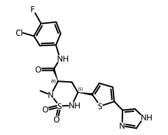 CN1[C@@H](C(=O)Nc2ccc(F)c(Cl)c2)C[C@@H](c2ccc(-c3c[nH]cn3)s2)NS1(=O)=O